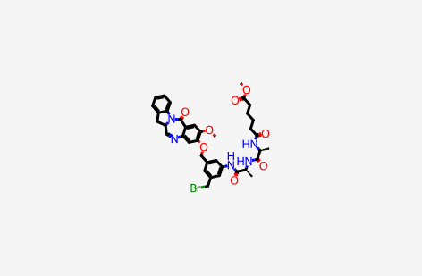 COC(=O)CCCCC(=O)N[C@@H](C)C(=O)N[C@@H](C)C(=O)Nc1cc(CBr)cc(COc2cc3c(cc2OC)C(=O)N2c4ccccc4CC2C=N3)c1